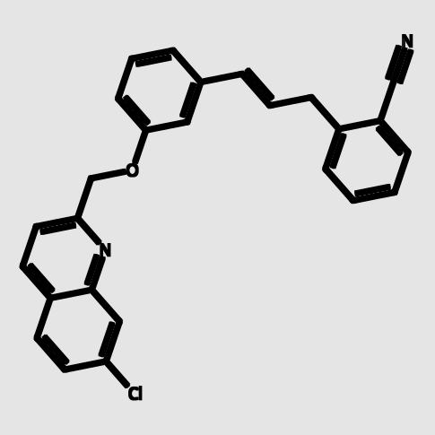 N#Cc1ccccc1CC=Cc1cccc(OCc2ccc3ccc(Cl)cc3n2)c1